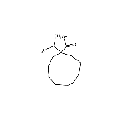 CC(C)C1(C(=O)O)CCCCCCCCC1